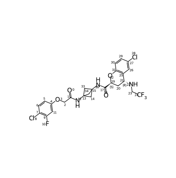 O=C(COc1ccc(Cl)c(F)c1)NC12CC(NC(=O)[C@@H]3C[C@@H](NCC(F)(F)F)c4cc(Cl)ccc4O3)(C1)C2